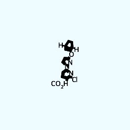 O=C(O)c1ccc(-n2ccc(O[C@H]3C[C@@H]4CC[C@H]3C4)n2)nc1Cl